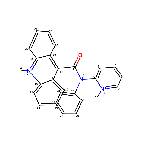 C[n+]1ccccc1N(C(=O)c1c2ccccc2[n+](C)c2ccccc12)c1ccccc1